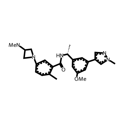 CNC1CN(c2ccc(C)c(C(=O)N[C@H](C)c3cc(OC)cc(-c4cnn(C)c4)c3)c2)C1